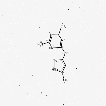 Cc1cc(NC2=NC(C)N=C(N)N2)c[nH]1